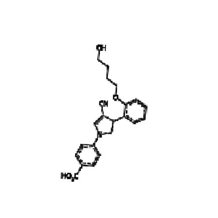 N#CC1=CN(c2ccc(C(=O)O)cc2)CC1c1ccccc1OCCCCO